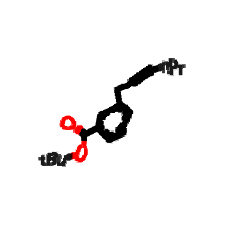 CCCC#CCc1cccc(C(=O)OC(C)(C)C)c1